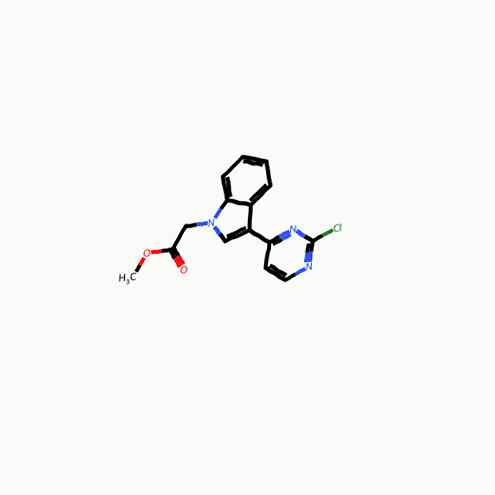 COC(=O)Cn1cc(-c2ccnc(Cl)n2)c2ccccc21